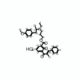 CCN(CCCOC(=O)c1cccc2c(=O)c(C)c(-c3ccccc3)oc12)C(C)Cc1ccc(OC)cc1.Cl